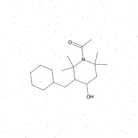 CC(=O)N1C(C)(C)CC(O)C(CC2CCCCC2)C1(C)C